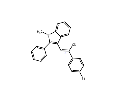 Cn1c(-c2ccccc2)c(/C=C(\C#N)c2ccc(Cl)cc2)c2ccccc21